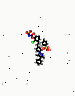 Cc1ccc(S(=O)(=O)O)cc1.Cc1nn(-c2ccc(CCc3cccc(OC(=O)N=S(=O)=O)c3Cl)cc2)c(C)c1-c1ccccc1